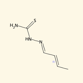 C/C=C/C=NNC(N)=S